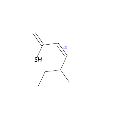 C=C(S)/C=C\C(C)CC